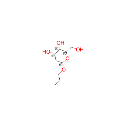 CCCO[C@@H]1C[C@H](O)[C@H](O)[C@H](CO)O1